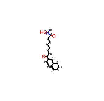 CN(O)C(=O)CCCCCCC(=O)c1ccc2ccccc2c1